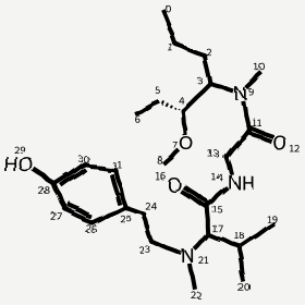 CCCC([C@@H](CC)OC)N(C)C(=O)CNC(=O)C(C(C)C)N(C)CCc1ccc(O)cc1